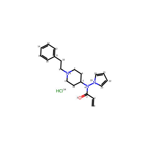 C=CC(=O)N(C1CCN(CCc2ccccc2)CC1)n1cccc1.Cl